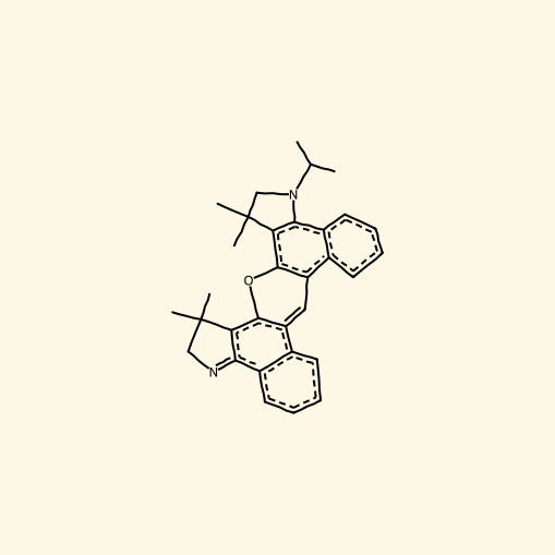 CC(C)N1CC(C)(C)c2c3c(c4ccccc4c21)C=c1c(c2c(c4ccccc14)=NCC2(C)C)O3